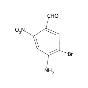 Nc1cc([N+](=O)[O-])c(C=O)cc1Br